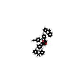 CC1(C)c2ccccc2N(c2ccc3c(c2)c2ccccc2n3-c2ccc(C#N)cc2-n2c3ccccc3c3cc(N4c5ccccc5C(C)(C)c5ccccc54)ccc32)c2ccccc21